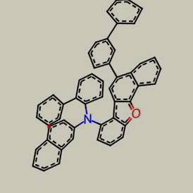 c1ccc(-c2cccc(-c3cc4c(oc5cccc(N(c6ccc7ccccc7c6)c6ccccc6-c6ccccc6)c54)c4ccccc34)c2)cc1